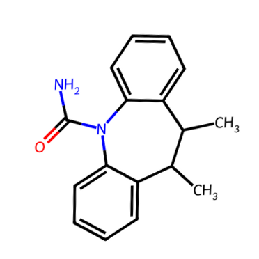 CC1c2ccccc2N(C(N)=O)c2ccccc2C1C